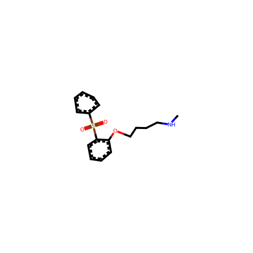 CNCCCCOc1ccccc1S(=O)(=O)c1ccccc1